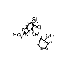 OCc1nc2c(OC[C@H]3CCCC[C@@H]3O)c(Cl)c(Cl)cc2[nH]1